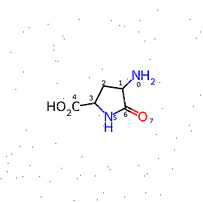 NC1CC(C(=O)O)NC1=O